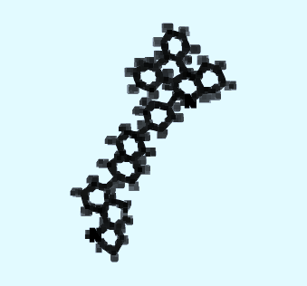 c1cnc2c(c1)ccc1c(-c3ccc4cc(-c5ccc(-c6nc7ccccc7c7c8ccccc8c8ccccc8c67)cc5)ccc4c3)cccc12